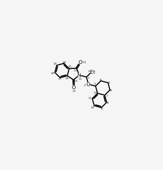 CCC(OC1CCCc2ccccc21)N1C(=O)c2ccccc2C1=O